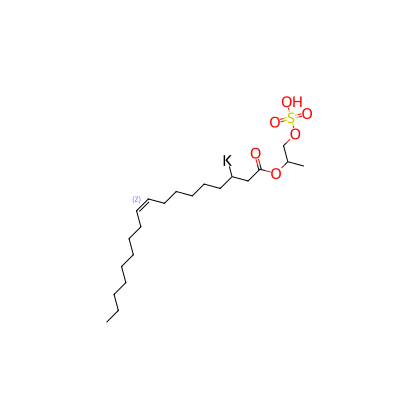 CCCCCCCC/C=C\CCCCC[CH]([K])CC(=O)OC(C)COS(=O)(=O)O